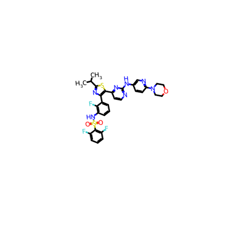 CC(C)c1nc(-c2cccc(NS(=O)(=O)c3c(F)cccc3F)c2F)c(-c2ccnc(Nc3ccc(N4CCOCC4)nc3)n2)s1